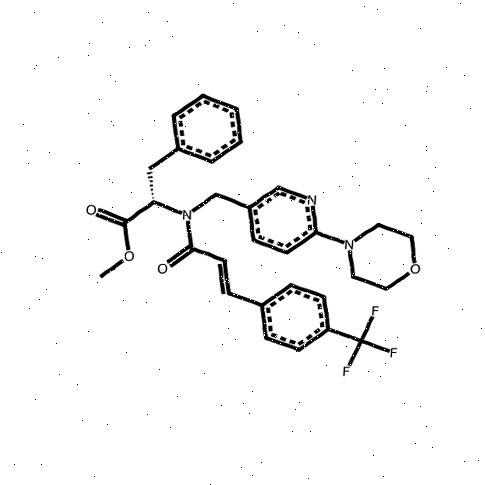 COC(=O)[C@H](Cc1ccccc1)N(Cc1ccc(N2CCOCC2)nc1)C(=O)/C=C/c1ccc(C(F)(F)F)cc1